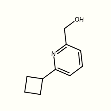 OCc1cccc(C2CCC2)n1